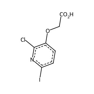 O=C(O)COc1ccc(I)nc1Cl